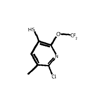 Cc1cc(S)c(OC(F)(F)F)nc1Cl